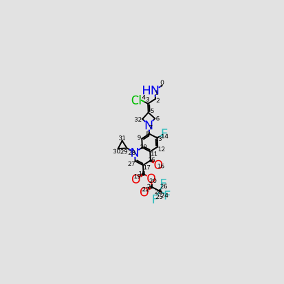 CNCC(Cl)=C1CN(c2cc3c(cc2F)c(=O)c(C(=O)OC(=O)C(F)(F)F)cn3C2CC2)C1